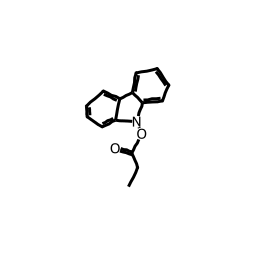 CCC(=O)On1c2ccccc2c2ccccc21